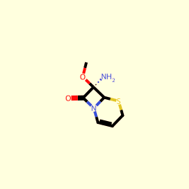 CO[C@]1(N)C(=O)N2C=CCSC21